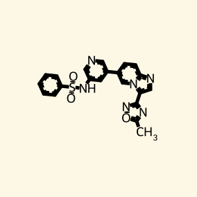 Cc1nc(-c2cnc3ccc(-c4cncc(NS(=O)(=O)c5ccccc5)c4)cn23)no1